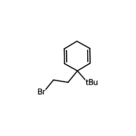 CC(C)(C)C1(CCBr)C=CCC=C1